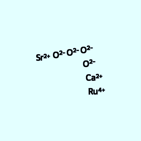 [Ca+2].[O-2].[O-2].[O-2].[O-2].[Ru+4].[Sr+2]